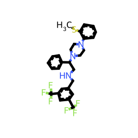 CSc1ccccc1N1CCN(C(CNCc2cc(C(F)(F)F)cc(C(F)(F)F)c2)c2ccccc2)CC1